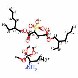 CCC(N)[Si](OC)(OC)OC.CCCCC(CC)COC(=O)CC(C(=O)OCC(CC)CCCC)S(=O)(=O)[O-].[Na+]